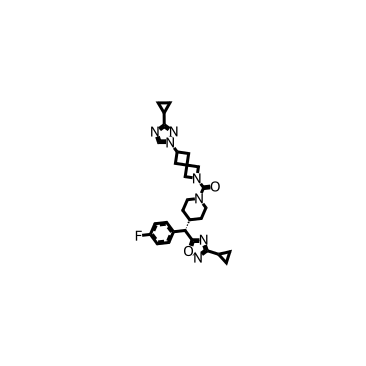 O=C(N1CCC([C@@H](c2ccc(F)cc2)c2nc(C3CC3)no2)CC1)N1CC2(CC(n3cnc(C4CC4)n3)C2)C1